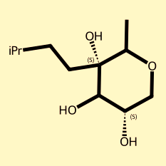 CC(C)CC[C@@]1(O)C(C)OC[C@H](O)C1O